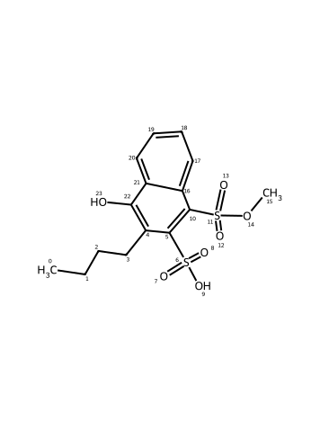 CCCCc1c(S(=O)(=O)O)c(S(=O)(=O)OC)c2ccccc2c1O